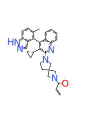 C=CC(=O)N1CC2(CCN(c3nc4ccccc4c(-c4c(C)ccc5[nH]ncc45)c3C3CC3)C2)C1